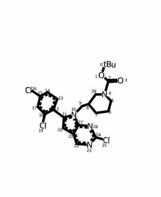 CC(C)(C)OC(=O)N1CCCC(Cn2c(-c3ccc(Cl)cc3Cl)cc3cnc(Cl)nc32)C1